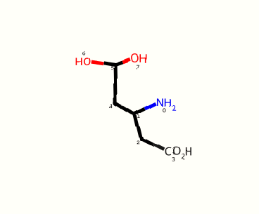 NC(CC(=O)O)CC(O)O